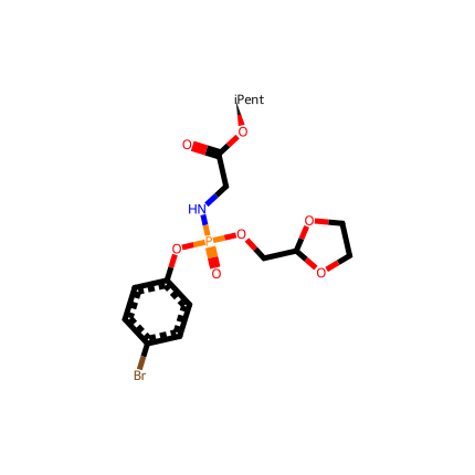 CCC[C@H](C)OC(=O)CNP(=O)(OCC1OCCO1)Oc1ccc(Br)cc1